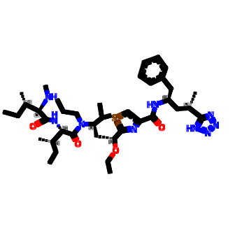 CCCN(C(=O)[C@@H](NC(=O)[C@H](NC)[C@@H](C)CC)[C@@H](C)CC)[C@H](C[C@@H](OCC)c1nc(C(=O)N[C@@H](Cc2ccccc2)C[C@H](C)c2nnn[nH]2)cs1)C(C)C